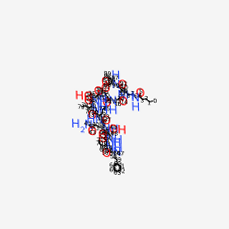 CCCCC(=O)NCCC1CC12NC(=O)[C@H](C)NC(=O)[C@H](NC(=O)[C@H](CO)NC(=O)[C@@H](NC(=O)[C@H](NC(=O)[C@@H](CCC(N)=O)NC(=O)[C@H](CO)NC(=O)[C@@H](NC(=O)[C@@H](CCc1ccccc1)NC)[C@@H](C)CC)[C@@H](C)CC)[C@@H](C)CC)[C@H](C)OC(=O)[C@H]([C@@H](C)CC)NC2=O